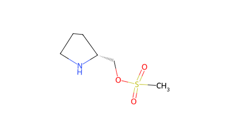 CS(=O)(=O)OC[C@H]1CCCN1